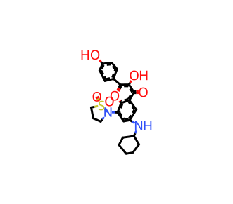 O=c1c(O)c(-c2ccc(O)cc2)oc2c(N3CCCS3(=O)=O)cc(NC3CCCCC3)cc12